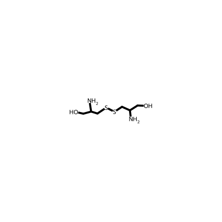 NC(CO)CSSCC(N)CO